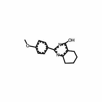 COc1ccc(-c2nc(O)c3c(n2)CCCC3)cc1